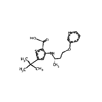 C[C@@H](CCOc1cccnc1)Nc1cc(C(C)(C)C)sc1C(=O)O